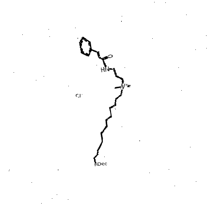 CCCCCCCCCCCCCCCCCCCCCC[N+](C)(C)CCCNC(=O)C=Cc1ccccc1.[Cl-]